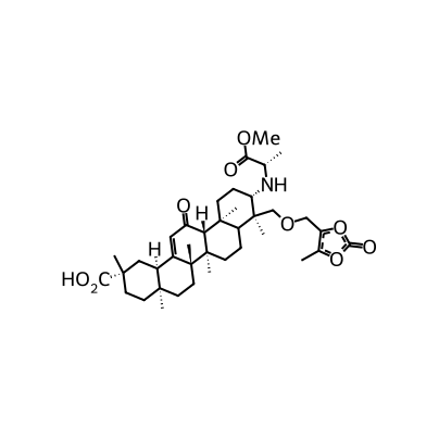 COC(=O)[C@H](C)N[C@H]1CC[C@@]2(C)C(CC[C@]3(C)[C@@H]2C(=O)C=C2[C@@H]4C[C@@](C)(C(=O)O)CC[C@]4(C)CC[C@]23C)[C@]1(C)COCc1oc(=O)oc1C